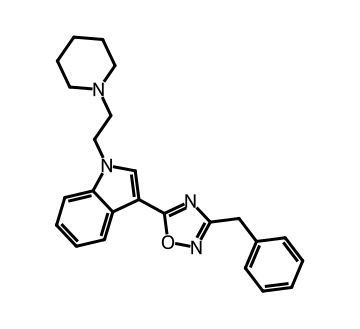 c1ccc(Cc2noc(-c3cn(CCN4CCCCC4)c4ccccc34)n2)cc1